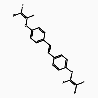 FC(F)=C(F)Oc1ccc(/C=C/c2ccc(OC(F)=C(F)F)cc2)cc1